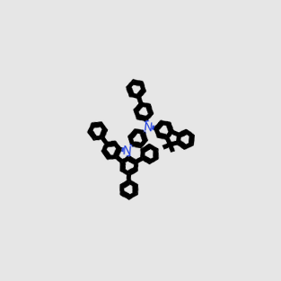 CC1(C)c2ccccc2-c2ccc(N(c3ccc(-c4ccccc4)cc3)c3ccc(-n4c5cc(-c6ccccc6)ccc5c5cc(-c6ccccc6)cc(-c6ccccc6)c54)cc3)cc21